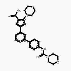 NC(=O)c1cc(-c2ccnc(-c3ccc(NC(=O)N4CCOCC4)cc3)c2)[nH]c1N1CCNCC1